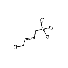 ClCC=CC[Si](Cl)(Cl)Cl